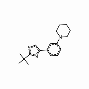 CC(C)(C)c1nc(-c2cccc(N3CCCCC3)c2)cs1